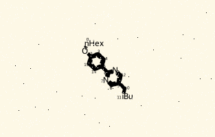 CCCCCCOc1ccc(-c2ncc(CC(C)CC)cn2)cc1